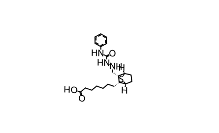 O=C(O)CCCCCC[C@@H]1[C@H](CNNC(=O)Nc2ccccc2)[C@@H]2CC[C@H]1S2